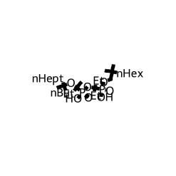 CCCCCCCC(C)(CCCC)OC(C)(CC)P(=O)(O)OC(CC)(CC)P(=O)(O)OCC(C)(C)CCCCCC